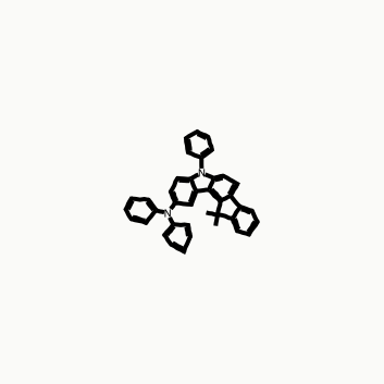 CC1(C)c2ccccc2-c2ccc3c(c21)c1cc(N(c2ccccc2)c2ccccc2)ccc1n3-c1ccccc1